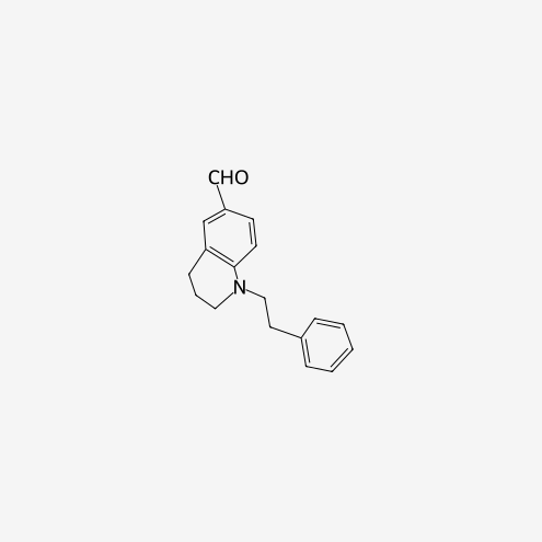 O=Cc1ccc2c(c1)CCCN2CCc1ccccc1